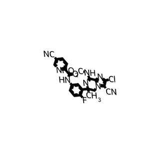 CC1(c2cc(NC(=O)c3ccc(C#N)cn3)ccc2F)Cn2c(nc(Cl)c2C#N)C(NC(=O)O)=N1